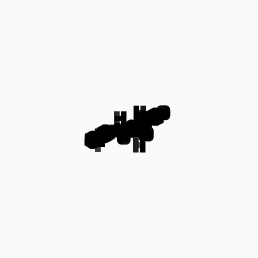 COc1ccc(C(=O)/C=C2\Nc3ccc(C(=O)NCCN4CCN(c5ccccc5F)CC4)cc3NC2=O)cc1